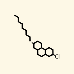 CCCCCCCCC[C@@H]1CCC2C(CCC3C[C@H](Cl)CCC32)C1